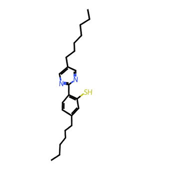 CCCCCCCc1cnc(-c2ccc(CCCCCC)cc2S)nc1